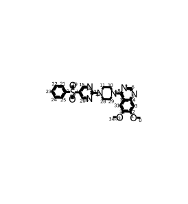 COc1cc2ncnc(N3CCN(c4ncc(S(=O)(=O)c5ccccc5)cn4)CC3)c2cc1OC